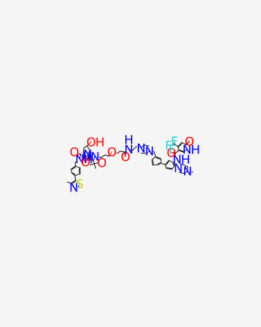 Cc1ncsc1-c1ccc(CNC(=O)[C@@H]2C[C@@H](O)CN2C(=O)C(NC(=O)CCOCCC(=O)NCCN2CCN(Cc3cccc(-c4ccc(N5CCN(C)CC5)c(NC(=O)c5c[nH]c(=O)cc5C(F)(F)F)c4)c3)CC2)C(C)(C)C)cc1